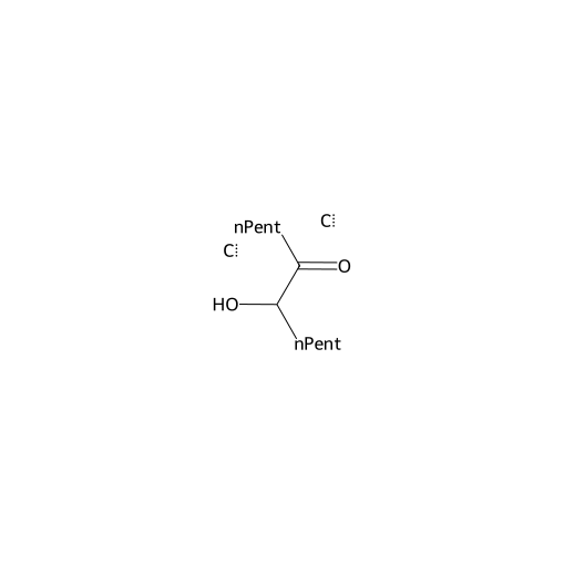 CCCCCC(=O)C(O)CCCCC.[C].[C]